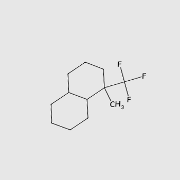 CC1(C(F)(F)F)CCCC2CCCCC21